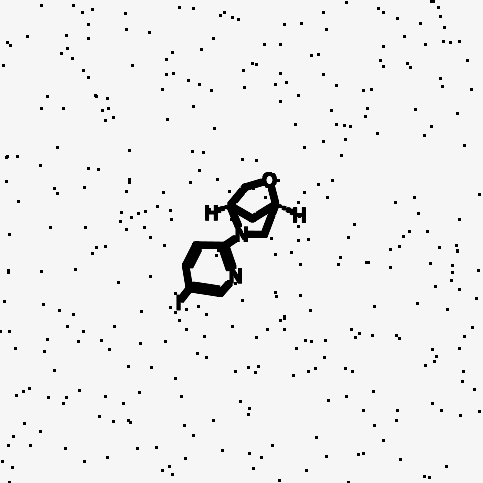 Ic1ccc(N2C[C@H]3C[C@@H]2CO3)nc1